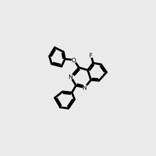 Fc1cccc2nc(-c3ccccc3)nc(Oc3ccccc3)c12